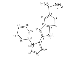 N=C(N)c1ccc2[nH]c(-c3nccn3-c3ccccc3)nc2c1